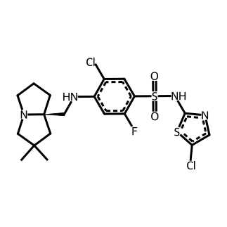 CC1(C)CN2CCC[C@]2(CNc2cc(F)c(S(=O)(=O)Nc3ncc(Cl)s3)cc2Cl)C1